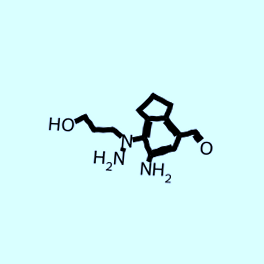 Nc1cc(C=O)c2c(c1N(N)CCCO)CCC2